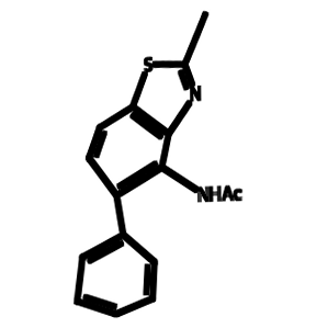 CC(=O)Nc1c(-c2ccccc2)ccc2sc(C)nc12